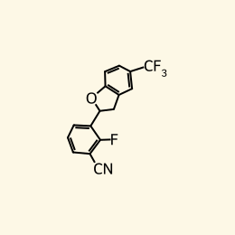 N#Cc1cccc(C2Cc3cc(C(F)(F)F)ccc3O2)c1F